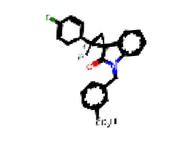 CC(C)[C@@]1(C2C=CC(F)=CC2)C[C@@]12C(=O)N(Cc1cccc(C(=O)O)c1)c1ccccc12